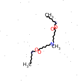 CCCCCC/C=C\COC(=O)CCCCCCCN(C)CCCCCCCC(=O)OC/C=C\CCCCCC